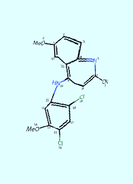 COc1ccc2nc(C#N)cc(Nc3cc(OC)c(Cl)cc3Cl)c2c1